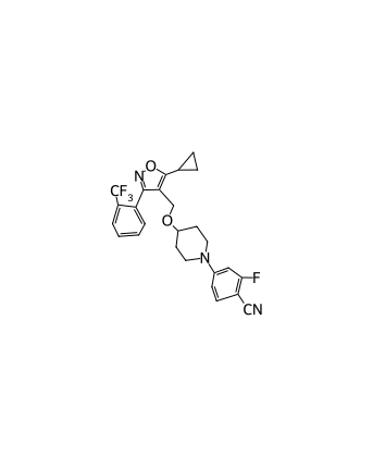 N#Cc1ccc(N2CCC(OCc3c(-c4ccccc4C(F)(F)F)noc3C3CC3)CC2)cc1F